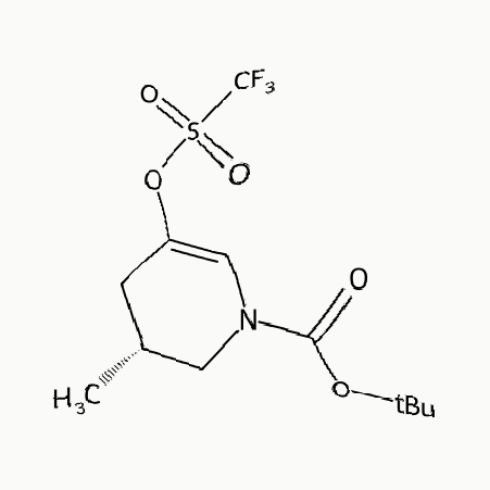 C[C@@H]1CC(OS(=O)(=O)C(F)(F)F)=CN(C(=O)OC(C)(C)C)C1